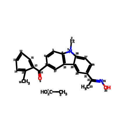 CC(=O)O.CCn1c2ccc(C(=O)c3ccccc3C)cc2c2cc(C(C)=NO)ccc21